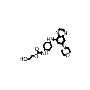 O=C(N[C@H]1CC[C@@H](Nc2cc(N3CCOCC3)cc3nccnc23)CC1)OCCO